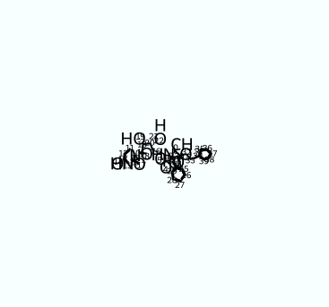 C[C@@H](N[P@@](=O)(OC[C@H]1O[C@@H](n2ccc(=O)[nH]c2=O)[C@H](O)[C@@H]1CO)Oc1ccccc1)C(=O)OCc1ccccc1